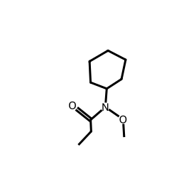 CCC(=O)N(OC)C1CCCCC1